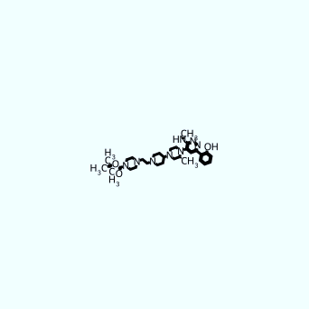 CNc1nnc(-c2ccccc2O)cc1N1CCN(C2CCN(CCN3CCN(C(=O)OC(C)(C)C)CC3)CC2)C[C@@H]1C